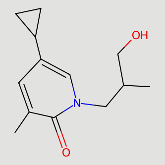 Cc1cc(C2CC2)cn(CC(C)CO)c1=O